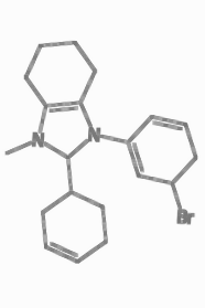 CN1C2=C(CCCC2)N(C2=CC(Br)CC=C2)C1C1CC=CCC1